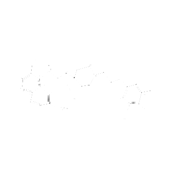 COc1ccc2ncc(F)c([C@H](O)CCC3(CO)CCN(CCSc4cc(F)c(F)c(F)c4)CC3)c2c1